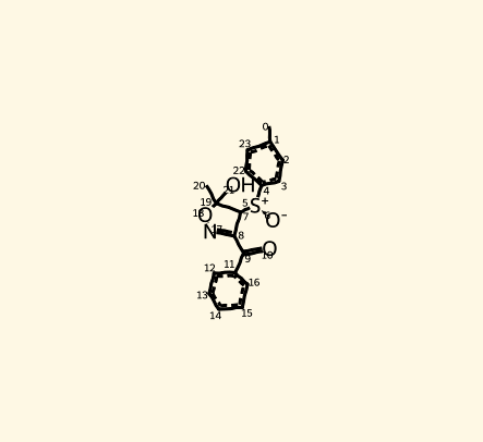 Cc1ccc([S@+]([O-])C2C(C(=O)c3ccccc3)=NOC2(C)O)cc1